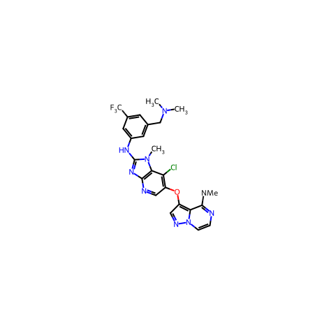 CNc1nccn2ncc(Oc3cnc4nc(Nc5cc(CN(C)C)cc(C(F)(F)F)c5)n(C)c4c3Cl)c12